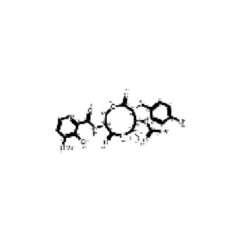 COc1ccnc(C(=O)N[C@H]2COC(=O)[C@H](Cc3ccc(C(F)(F)F)cc3)[C@@H](OC(=O)C(C)C)[C@H](C)OC2=O)c1O